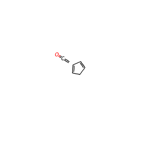 C1=CCC=C1.C=C=O